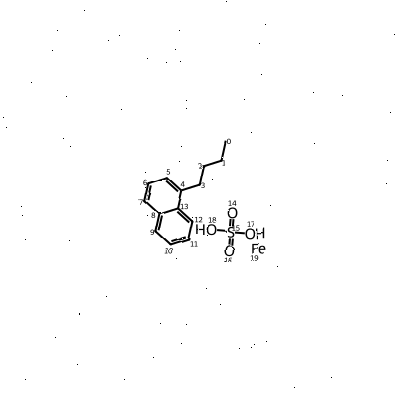 CCCCc1cccc2ccccc12.O=S(=O)(O)O.[Fe]